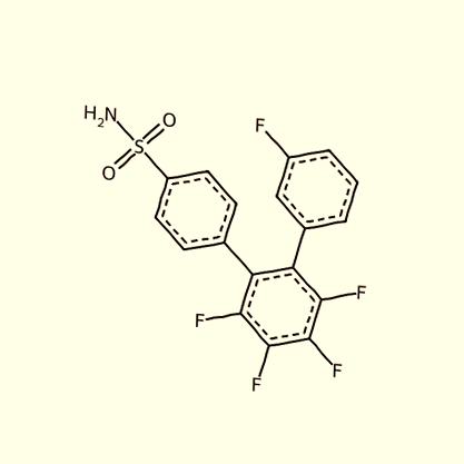 NS(=O)(=O)c1ccc(-c2c(F)c(F)c(F)c(F)c2-c2cccc(F)c2)cc1